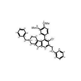 COc1ccc(-c2c(Cl)c(COc3ccccn3)nc3sc4c(c23)CCN(Cc2ccccc2)C4)cc1OC